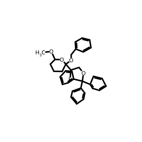 COC1CCCC(OCc2ccccc2)(C(F)COC(c2ccccc2)(c2ccccc2)c2ccccc2)O1